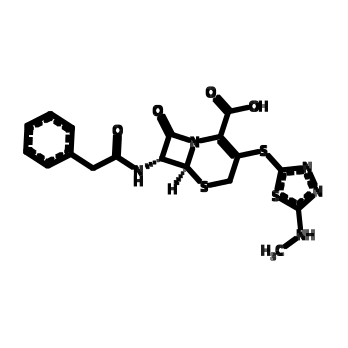 CNc1nnc(SC2=C(C(=O)O)N3C(=O)[C@@H](NC(=O)Cc4ccccc4)[C@@H]3SC2)s1